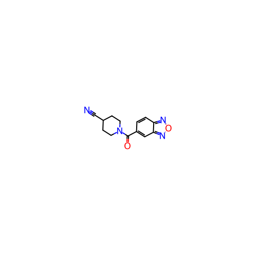 N#CC1CCN(C(=O)c2ccc3nonc3c2)CC1